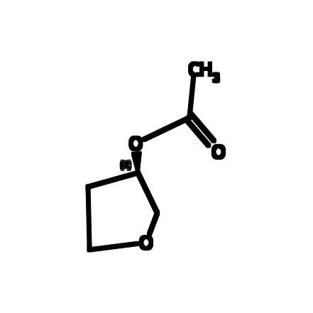 CC(=O)O[C@@H]1CCOC1